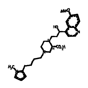 COc1ccc2nccc(C(O)CC[C@@H]3CCN(CCCCc4cccn4C)C[C@@H]3C(=O)O)c2c1